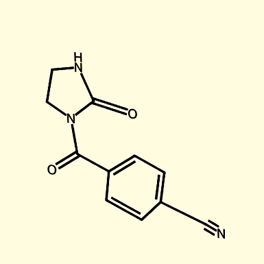 N#Cc1ccc(C(=O)N2CCNC2=O)cc1